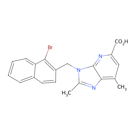 Cc1cc(C(=O)O)nc2c1nc(C)n2Cc1ccc2ccccc2c1Br